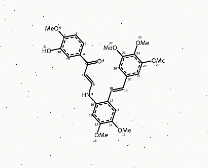 COc1ccc(C(=O)C=CNc2cc(OC)c(OC)cc2C=Cc2cc(OC)c(OC)c(OC)c2)cc1O